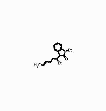 CC=CCCC(CC)C1C(=O)N(CC)c2ccccc21